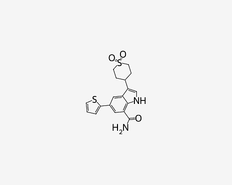 NC(=O)c1cc(-c2cccs2)cc2c(C3CCS(=O)(=O)CC3)c[nH]c12